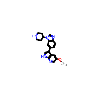 COc1cnc2[nH]cc(-c3ccc4ncn(C5CCNCC5)c4c3)c2c1